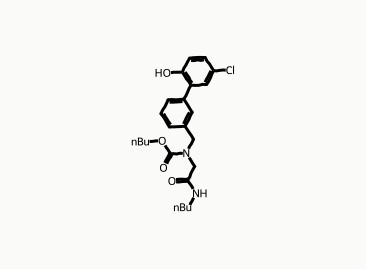 CCCCNC(=O)CN(Cc1cccc(-c2cc(Cl)ccc2O)c1)C(=O)OCCCC